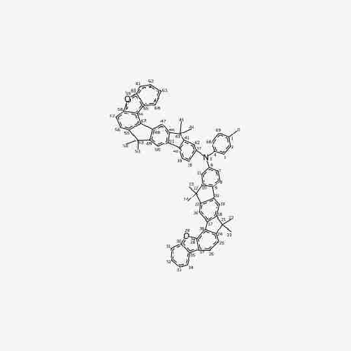 Cc1ccc(N(c2ccc3c(c2)C(C)(C)c2cc4c(cc2-3)C(C)(C)c2ccc3c(oc5ccccc53)c2-4)c2ccc3c(c2)C(C)(C)c2cc4c(cc2-3)C(C)(C)c2ccc3oc5ccccc5c3c2-4)cc1